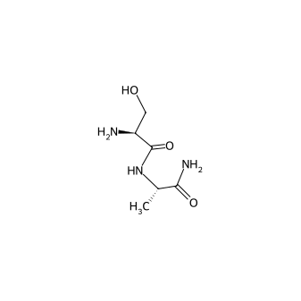 C[C@H](NC(=O)[C@@H](N)CO)C(N)=O